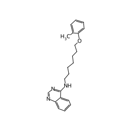 Cc1ccccc1OCCCCCCCNc1ncnc2ccccc12